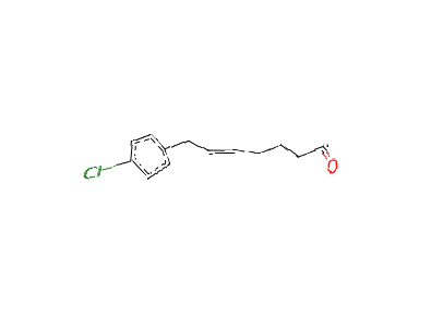 O=[C]CCC/C=C/Cc1ccc(Cl)cc1